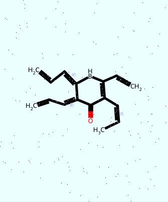 C=C/C=C1/BC(C=C)=C(/C=C\C)C(=O)/C1=C/C=C